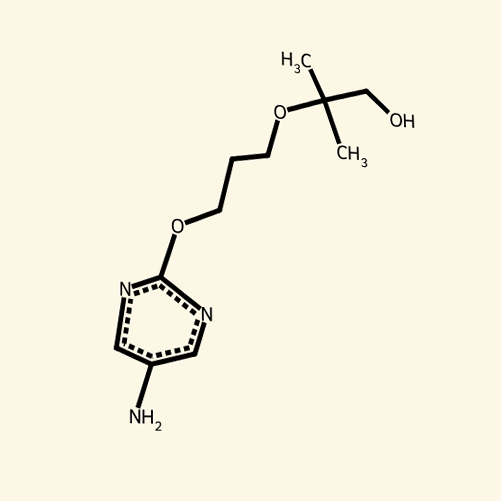 CC(C)(CO)OCCCOc1ncc(N)cn1